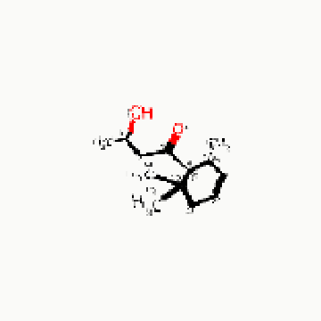 CC(O)CC(=O)[C@H]1[C@H](C)C=CCC1(C)C